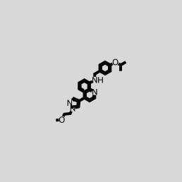 COCCn1cc(-c2ccnc3c(NCc4ccc(OC(C)C)cc4)cccc23)cn1